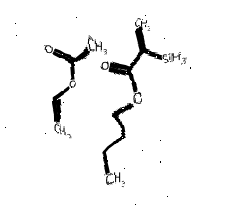 C=C([SiH3])C(=O)OCCCC.C=COC(C)=O